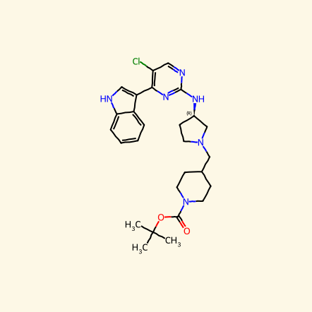 CC(C)(C)OC(=O)N1CCC(CN2CC[C@@H](Nc3ncc(Cl)c(-c4c[nH]c5ccccc45)n3)C2)CC1